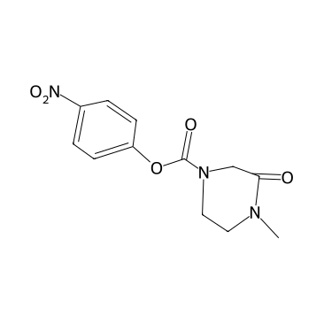 CN1CCN(C(=O)Oc2ccc([N+](=O)[O-])cc2)CC1=O